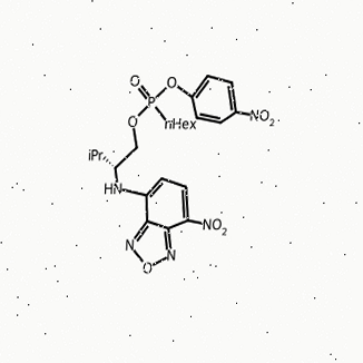 CCCCCCP(=O)(OC[C@H](Nc1ccc([N+](=O)[O-])c2nonc12)C(C)C)Oc1ccc([N+](=O)[O-])cc1